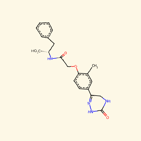 Cc1cc(C2=NNC(=O)NC2)ccc1OCC(=O)N[C@@H](Cc1ccccc1)C(=O)O